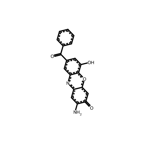 Nc1cc2nc3cc(C(=O)c4ccccc4)cc(O)c3oc-2cc1=O